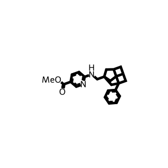 COC(=O)c1ccc(NCC23CC4CC5CC(c6ccccc6)(C2)C45C3)nc1